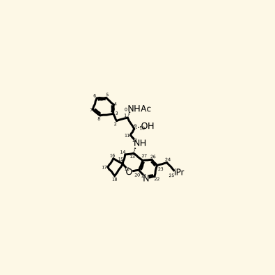 CC(=O)N[C@@H](Cc1ccccc1)[C@H](O)CN[C@H]1CC2(CCC2)Oc2ncc(CC(C)C)cc21